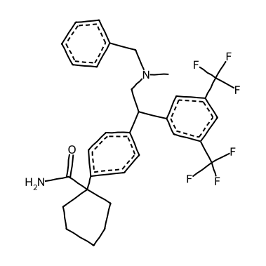 CN(Cc1ccccc1)CC(c1ccc(C2(C(N)=O)CCCCC2)cc1)c1cc(C(F)(F)F)cc(C(F)(F)F)c1